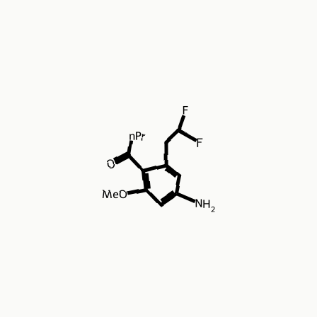 CCCC(=O)c1c(CC(F)F)cc(N)cc1OC